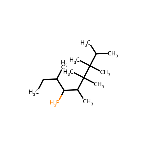 CCC(C)C(P)C(C)C(C)(C)C(C)(C)C(C)C